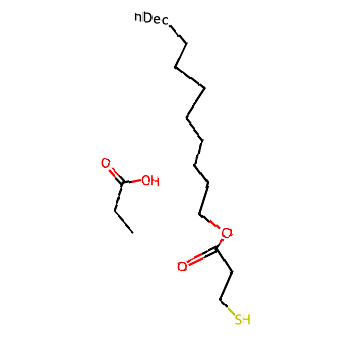 CCC(=O)O.CCCCCCCCCCCCCCCCCCOC(=O)CCS